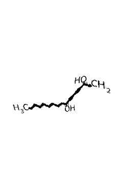 C=C[C@H](O)C#CC#C[C@@H](O)CCCCCCCCC